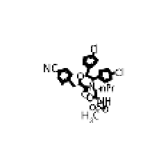 CCC[C@H](C(=O)NS(C)(=O)=O)N1C(=O)[C@H](Cc2ccc(C#N)cc2)OC(c2ccc(Cl)cc2)C1c1ccc(Cl)cc1